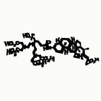 C[C@H](CCC(=O)O)[C@H]1CC[C@H]2[C@@H]3CC[C@@H]4C[C@@H](NC(=O)CCC(C(=O)O)N(CCN(CC(=O)O)CC(=O)O)CCN(CC(=O)O)CC(=O)O)CC[C@]4(C)[C@H]3C[C@H](O)[C@]12C